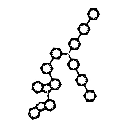 c1ccc(-c2ccc(-c3ccc(N(c4ccc(-c5ccc(-c6ccccc6)cc5)cc4)c4cccc(-c5cccc(-c6cccc7c6c6ccccc6n7-c6cccc7c6sc6ccccc67)c5)c4)cc3)cc2)cc1